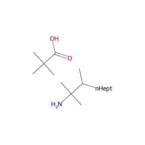 CC(C)(C)C(=O)O.CCCCCCCC(C)C(C)(C)N